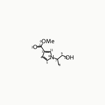 COC(=O)c1ccn(C(C)CO)c1